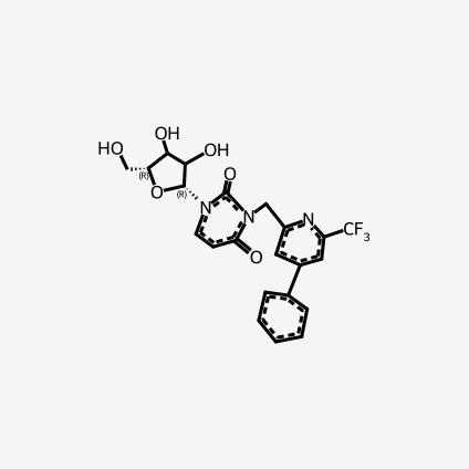 O=c1ccn([C@@H]2O[C@H](CO)C(O)C2O)c(=O)n1Cc1cc(-c2ccccc2)cc(C(F)(F)F)n1